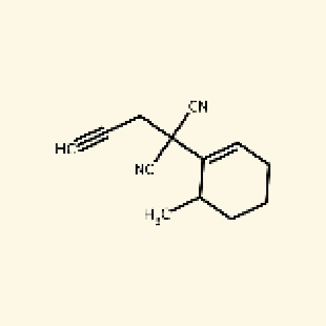 C#CCC(C#N)(C#N)C1=CCCCC1C